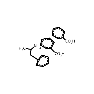 CC(N)Cc1ccccc1.O=C(O)c1ccccc1.O=C(O)c1ccccc1